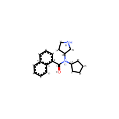 O=C(c1cccc2ccccc12)N(C1CCCC1)C1CCNC1